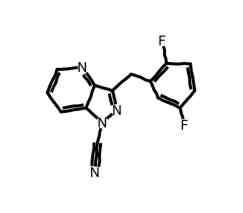 N#Cn1nc(Cc2cc(F)ccc2F)c2ncccc21